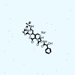 CS(=O)(=O)NCCC(Sc1nnn[nH]1)C1=C(C(=O)[O-])N2C(=O)[C@@H](NC(=O)C(O)c3ccccc3)[C@@H]2SC1.[Na+]